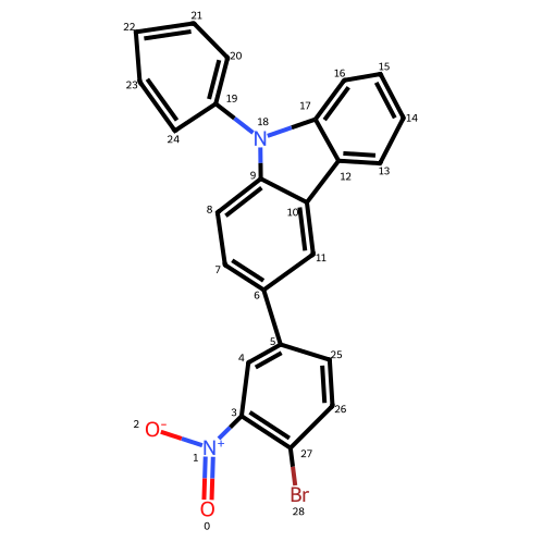 O=[N+]([O-])c1cc(-c2ccc3c(c2)c2ccccc2n3-c2ccccc2)ccc1Br